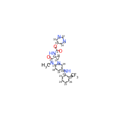 CN(C(=O)C1(NC(=O)Oc2cncnc2)CC1)c1ccc(Nc2ccccc2C(F)(F)F)cn1